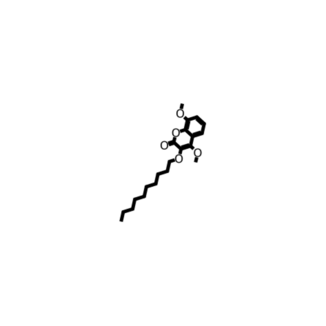 CCCCCCCCCCOc1c(OC)c2cccc(OC)c2oc1=O